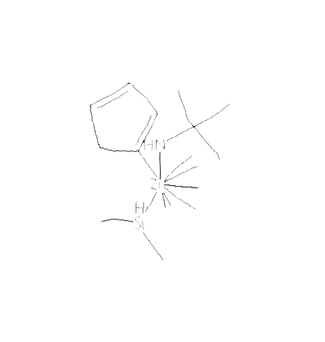 C[SiH](C)[Zr]([CH3])([CH3])([CH3])([CH3])([CH3])([CH3])([NH]C(C)(C)C)[C]1=CC=CC1